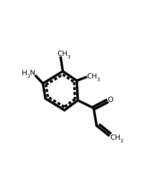 C=CC(=O)c1ccc(N)c(C)c1C